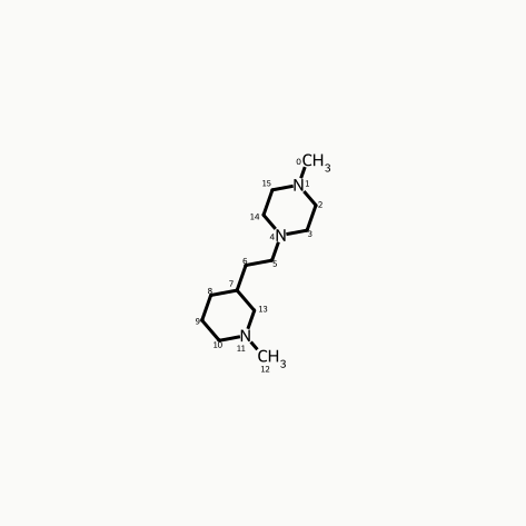 CN1CCN(CCC2CCCN(C)C2)CC1